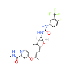 C=C1/C(=C\C=C(/C)Oc2ccnc(C(=O)NC)c2)O[C@@H]2[C@@H](NC(=O)Nc3ccc(F)c(C(F)(F)F)c3)[C@H]12